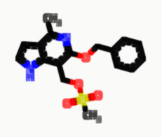 Cc1nc(OCc2ccccc2)c(COS(C)(=O)=O)c2[nH]ccc12